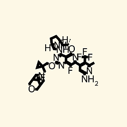 Cc1nc(N)cc(-c2nc3c4c(nc(OCC5(CN6CC7COCC(C6)C7(F)F)CC5)nc4c2F)N2C[C@H]4CC[C@H](N4)[C@H]2[C@H](C)O3)c1C(F)(F)F